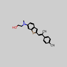 CN(CCO)c1ccc2cc(/C=C(\C#N)c3ccc(C#N)cc3)sc2c1